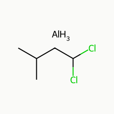 CC(C)CC(Cl)Cl.[AlH3]